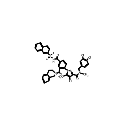 Cc1c(Cl)c(C(=O)N(C)Cc2ccc(Cl)c(Cl)c2)nn1-c1ccc(C(=O)NS(=O)(=O)c2ccc3ccccc3c2)cc1C(=O)N1CCc2ccccc2C1